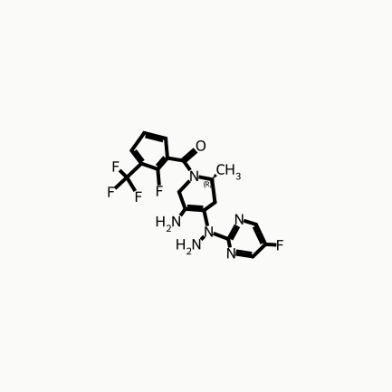 C[C@@H]1CC(N(N)c2ncc(F)cn2)=C(N)CN1C(=O)c1cccc(C(F)(F)F)c1F